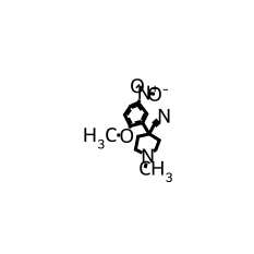 COc1ccc([N+](=O)[O-])cc1C1(C#N)CCN(C)CC1